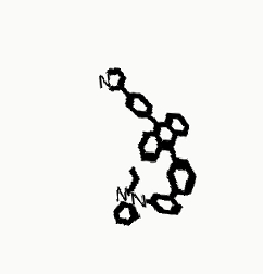 CCc1nc2ccccc2n1-c1cccc(-c2cccc(-c3c4ccccc4c(-c4ccc(-c5cccnc5)cc4)c4ccccc34)c2)c1